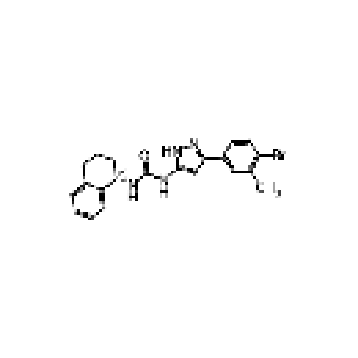 Cc1cc(-c2cc(NC(=O)N[C@H]3CCCc4ccccc43)[nH]n2)ccc1Br